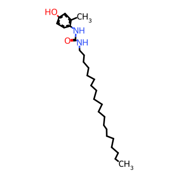 CCCCCCCCCCCCCCCCCCCCNC(=O)Nc1ccc(O)cc1C